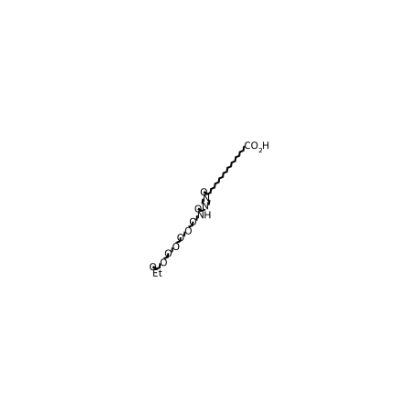 CCC(=O)CCOCCOCCOCCOCCOCCOCCNC(=O)CN1CCN(C(=O)CCCCCCCCCCCCCCCCCCC(=O)O)CC1